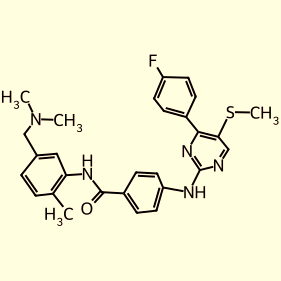 CSc1cnc(Nc2ccc(C(=O)Nc3cc(CN(C)C)ccc3C)cc2)nc1-c1ccc(F)cc1